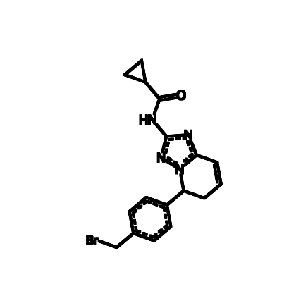 O=C(Nc1nc2n(n1)C(c1ccc(CBr)cc1)CC=C2)C1CC1